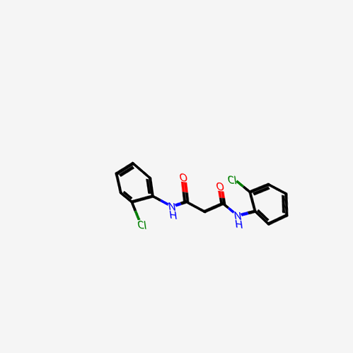 O=C(CC(=O)Nc1ccccc1Cl)Nc1ccccc1Cl